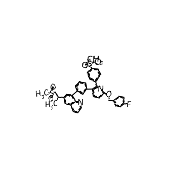 CC(CS(C)(=O)=O)c1cc(-c2cccc(-c3ccc(OCc4ccc(F)cc4)nc3-c3ccc(S(C)(=O)=O)cc3)c2)c2ncccc2c1